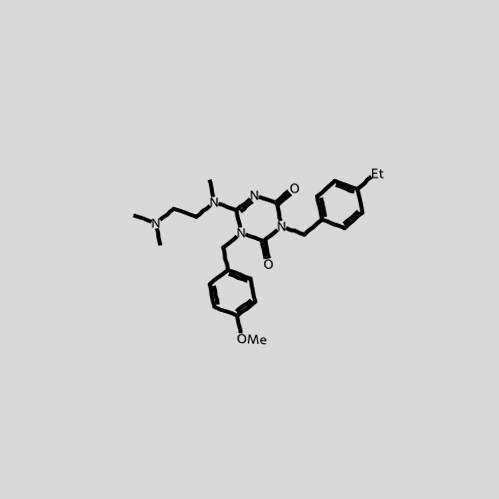 CCc1ccc(Cn2c(=O)nc(N(C)CCN(C)C)n(Cc3ccc(OC)cc3)c2=O)cc1